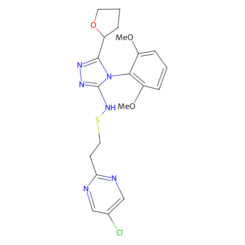 COc1cccc(OC)c1-n1c(NSCCc2ncc(Cl)cn2)nnc1C1CCCO1